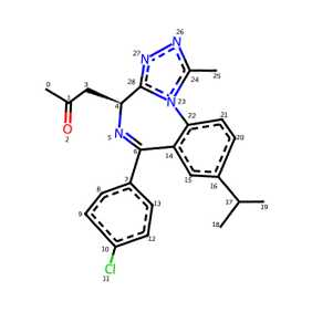 CC(=O)C[C@@H]1N=C(c2ccc(Cl)cc2)c2cc(C(C)C)ccc2-n2c(C)nnc21